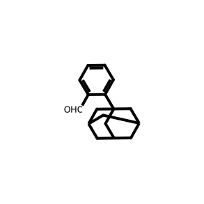 O=Cc1ccccc1C12CC3CC(CC(C3)C1)C2